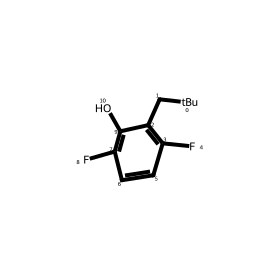 CC(C)(C)Cc1c(F)ccc(F)c1O